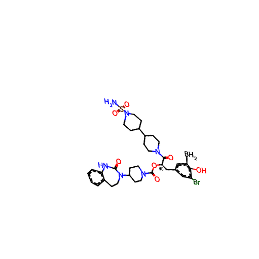 Bc1cc(C[C@@H](OC(=O)N2CCC(N3CCc4ccccc4NC3=O)CC2)C(=O)N2CCC(C3CCN(S(N)(=O)=O)CC3)CC2)cc(Br)c1O